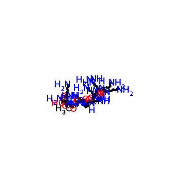 C[C@H](NC(=O)[C@@H](NC(=O)[C@@H](N)CCCCN)[C@@H](O)CN)C(=O)NCC(=O)N[C@H](CCCN)C(=O)N1CCC[C@H]1C(=O)N[C@@H](Cc1cnc[nH]1)C(=O)N[C@@H](CCCCN)C(=O)N/C(=C\CCNC(=N)N)C(=O)N[C@@H](CCCCN)C(=O)NCCCCCN